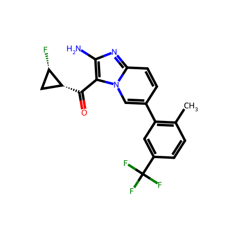 Cc1ccc(C(F)(F)F)cc1-c1ccc2nc(N)c(C(=O)[C@@H]3C[C@@H]3F)n2c1